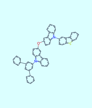 c1ccc(-c2cc(-c3ccccc3)cc(-n3c4ccccc4c4cc(Oc5ccc6c(c5)c5ccccc5n6-c5ccc6sc7ccccc7c6c5)ccc43)c2)cc1